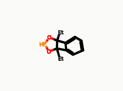 CCC12OPOC1(CC)c1ccccc12